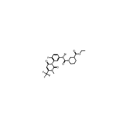 CCOC(=O)C1CCCN(C(=O)N(Br)c2ccc(F)c(-n3c(=O)cc(C(F)(F)F)n(C)c3=O)c2)C1